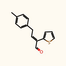 Cc1ccc(CC=C(C=O)c2cccs2)cc1